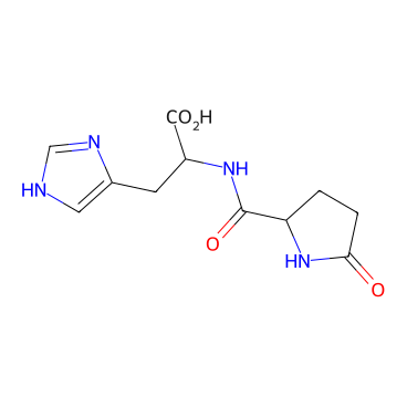 O=C1CCC(C(=O)NC(Cc2c[nH]cn2)C(=O)O)N1